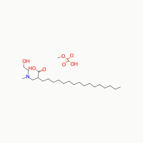 CCCCCCCCCCCCCCCCC(CN(C)CCO)C(=O)O.COS(=O)(=O)O